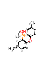 CC[PH]1(O)C2=C(CCC(C#N)=C2)OC2=C1CC(C)C=C2